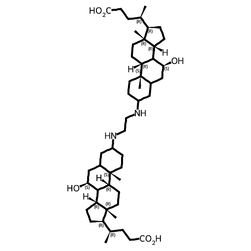 C[C@H](CCC(=O)O)[C@H]1CC[C@@H]2C3[C@@H](CC[C@@]21C)[C@@]1(C)CCC(NCCNC2CC[C@@]4(C)C(C2)C[C@H](O)C2[C@H]5CC[C@H]([C@H](C)CCC(=O)O)[C@@]5(C)CC[C@H]24)CC1C[C@@H]3O